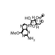 COc1nc(N)nc2c1ncn2[C@@H]1O[C@@H]2CO[PH](=O)O[C@H]2[C@@H]1O